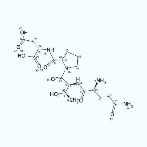 C[C@@H](O)[C@H](NC(=O)[C@@H](N)CCC(N)=O)C(=O)N1CCC[C@H]1C(=O)N[C@@H](CC(=O)O)C(=O)O